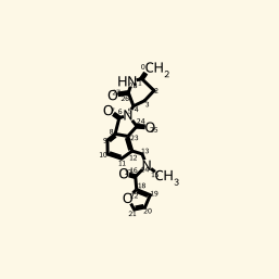 C=C1CCC(N2C(=O)c3cccc(CN(C)C(=O)c4ccco4)c3C2=O)C(=O)N1